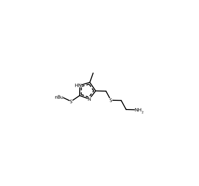 CCCCSc1nc(CSCCN)c(C)[nH]1